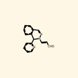 O=CC=CN1N=Cc2ccccc2C1c1ccccn1